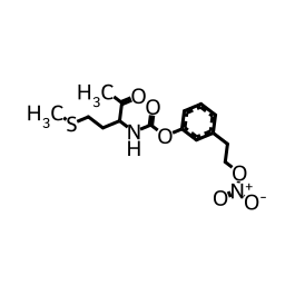 CSCCC(NC(=O)Oc1cccc(CCO[N+](=O)[O-])c1)C(C)=O